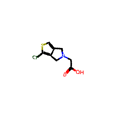 O=C(O)CN1Cc2csc(Cl)c2C1